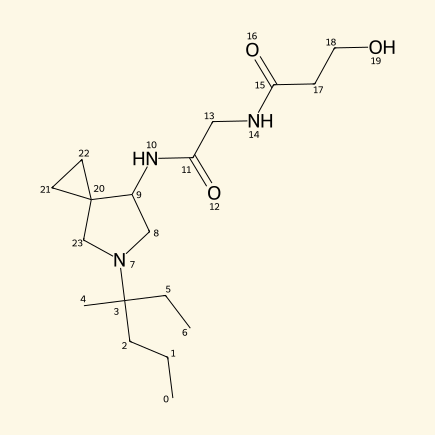 CCCC(C)(CC)N1CC(NC(=O)CNC(=O)CCO)C2(CC2)C1